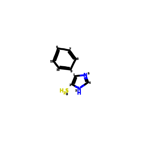 S.c1c[nH]cn1.c1ccccc1